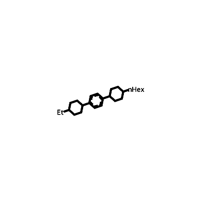 CCCCCCC1CCC(c2ccc(C3CCC(CC)CC3)cc2)CC1